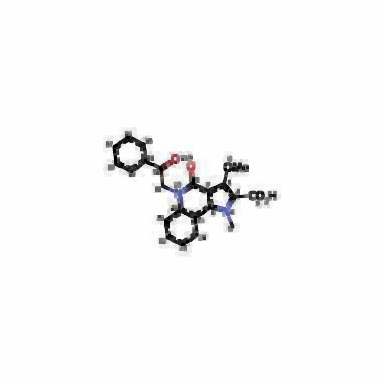 COc1c(C(=O)O)n(C)c2c1c(=O)n(CC(=O)c1ccccc1)c1ccccc21